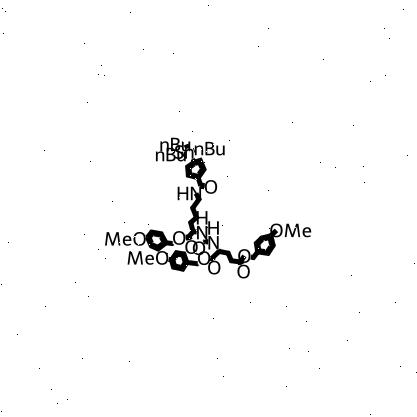 CCC[CH2][Sn]([CH2]CCC)([CH2]CCC)[c]1ccc(C(=O)NCCCCC(NC(=O)NC(CCC(=O)OCc2ccc(OC)cc2)C(=O)OCc2ccc(OC)cc2)C(=O)OCc2ccc(OC)cc2)cc1